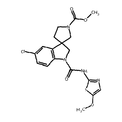 COC(=O)N1CCC2(C1)CN(C(=O)Nc1ncc(OC)s1)c1ccc(Cl)cc12